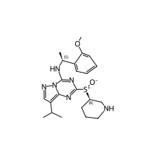 COc1ccccc1[C@H](C)Nc1nc([S+]([O-])[C@@H]2CCCNC2)nc2c(C(C)C)cnn12